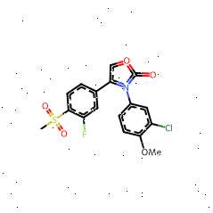 COc1ccc(-n2c(-c3ccc(S(C)(=O)=O)c(F)c3)coc2=O)cc1Cl